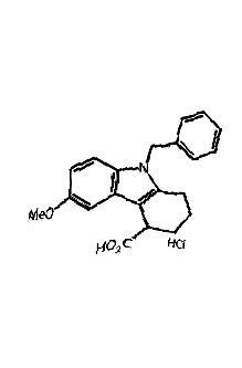 COc1ccc2c(c1)c1c(n2Cc2ccccc2)CCCC1C(=O)O.Cl